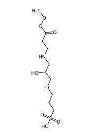 COOC(=O)CCNCC(O)COCCCS(=O)(=O)O